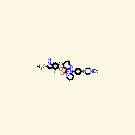 CCN1CCN(c2ccc(NC3=N/C=C/CC(C)/C(Oc4ccc5[nH]c(C)cc5c4F)=C\3C(=O)N3CCCCC3)cc2)CC1